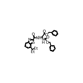 CCC(CC)c1cccc2nc(C(=O)NC[C@@H](NC(=O)OCc3ccccc3)C(=O)OCc3ccccc3)sc12